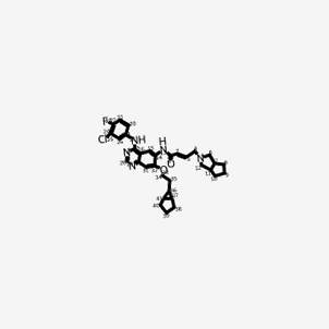 O=C(/C=C/CN1CC2CCCC2C1)Nc1cc2c(Nc3ccc(F)c(Cl)c3)ncnc2cc1OCCC1C2CCCC21